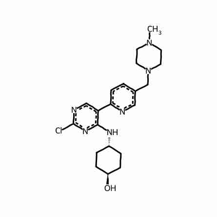 CN1CCN(Cc2ccc(-c3cnc(Cl)nc3N[C@H]3CC[C@H](O)CC3)nc2)CC1